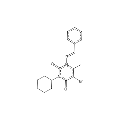 Cc1c(Br)c(=O)n(C2CCCCC2)c(=O)n1N=Cc1ccccc1